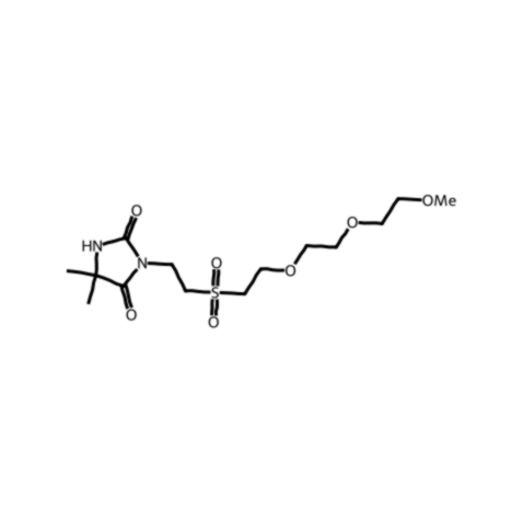 COCCOCCOCCS(=O)(=O)CCN1C(=O)NC(C)(C)C1=O